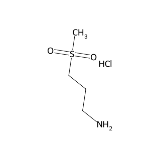 CS(=O)(=O)CCCN.Cl